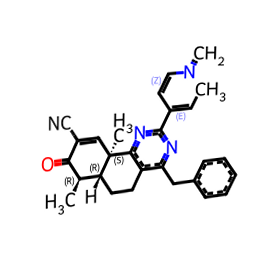 C=N/C=C\C(=C/C)c1nc(Cc2ccccc2)c2c(n1)[C@]1(C)C=C(C#N)C(=O)[C@H](C)[C@H]1CC2